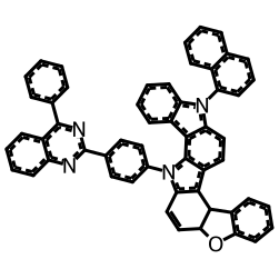 C1=CC2Oc3ccccc3C2c2c1n(-c1ccc(-c3nc(-c4ccccc4)c4ccccc4n3)cc1)c1c2ccc2c1c1ccccc1n2-c1cccc2ccccc12